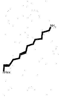 CCCCCCC=CCCC=CCCCCCCN